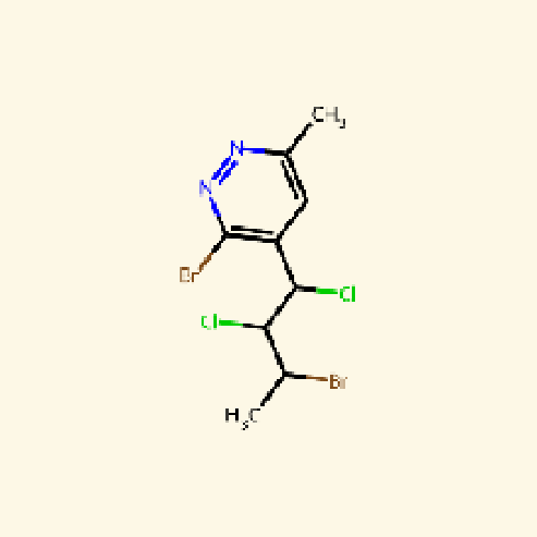 Cc1cc(C(Cl)C(Cl)C(C)Br)c(Br)nn1